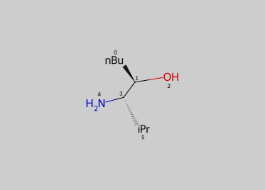 CCCC[C@@H](O)[C@@H](N)C(C)C